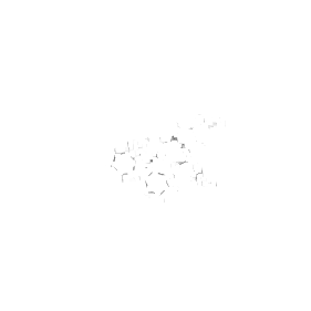 CC(C)OC1C[C@H](CO[Si](c2ccccc2)(c2ccccc2)C(C)(C)C)N(C(=O)OC(C)(C)C)C1